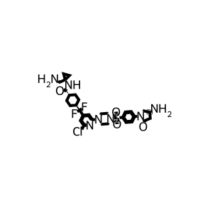 NCC1(NC(=O)[C@H]2CC[C@H](C(F)(F)c3cc(Cl)nc(N4CCN(S(=O)(=O)c5ccc(N6C[C@H](N)CC6=O)cc5)CC4)c3)CC2)CC1